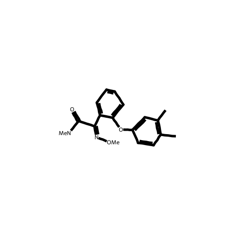 CNC(=O)/C(=N/OC)c1ccccc1Oc1ccc(C)c(C)c1